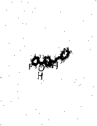 OC(c1cccc(F)c1)C12CCC(CCc3cccnc3)(CC1)N2